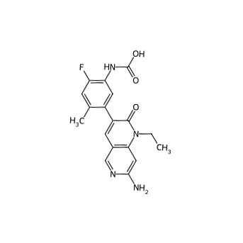 CCn1c(=O)c(-c2cc(NC(=O)O)c(F)cc2C)cc2cnc(N)cc21